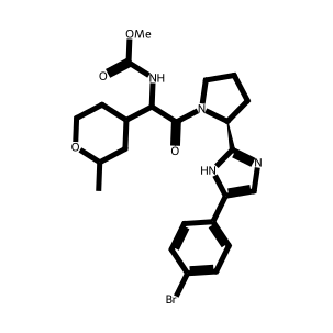 COC(=O)NC(C(=O)N1CCC[C@H]1c1ncc(-c2ccc(Br)cc2)[nH]1)C1CCOC(C)C1